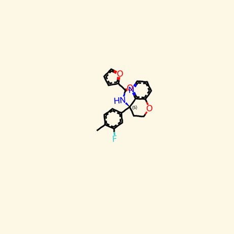 Cc1ccc([C@@]2(NC(=O)c3ccco3)CCOc3cccnc32)cc1F